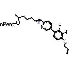 C=CCOc1ccc(-c2ccc(/C=C/CCCC(C)OCCCCC)nc2)c(F)c1F